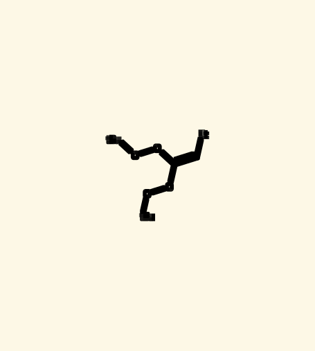 CCC=C(OOC(C)(C)C)OOC(C)(C)C